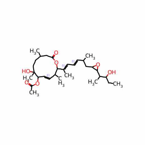 CCC(O)C(C)C1OC1CC(C)/C=C/C=C(\C)C1OC(=O)CC(C)CCC(C)(O)C(OC(C)=O)/C=C/C1C